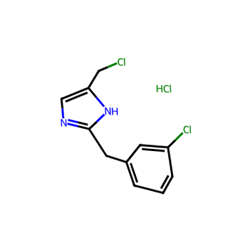 Cl.ClCc1cnc(Cc2cccc(Cl)c2)[nH]1